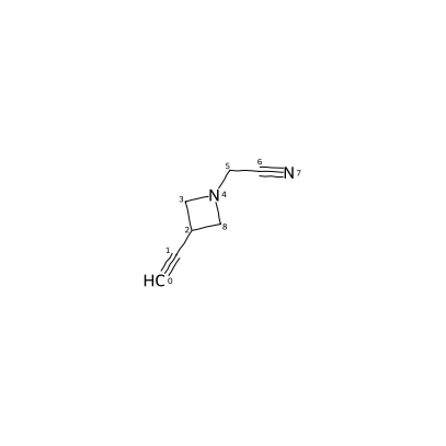 C#CC1CN(CC#N)C1